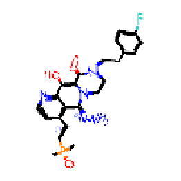 CP(C)(=O)/C=C/c1ccnc2c(O)c3n(/c(=N\N)c12)CCN(CCc1ccc(F)cc1)C3=O